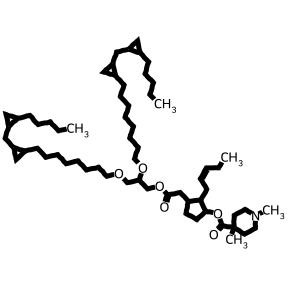 CC/C=C\CC1C(CC(=O)OCC(COCCCCCCCCC2CC2CC2CC2CCCCC)OCCCCCCCCC2CC2CC2CC2CCCCC)CCC1OC(=O)C1(C)CCN(C)CC1